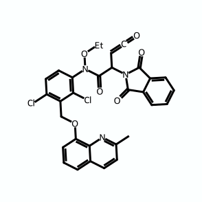 CCON(C(=O)C(C=C=O)N1C(=O)c2ccccc2C1=O)c1ccc(Cl)c(COc2cccc3ccc(C)nc23)c1Cl